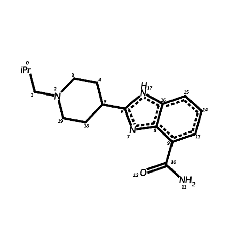 CC(C)CN1CCC(c2nc3c(C(N)=O)cccc3[nH]2)CC1